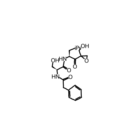 CC(C)C[C@H](NC(=O)[C@H](CO)NC(=O)Cc1ccccc1)C(=O)C1(CO)CO1